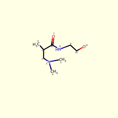 CC(CN(C)C)C(=O)NCC[O]